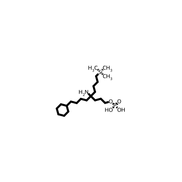 C[Si](C)(C)CCCCC(N)(CCCCC1CCCCC1)CCCOP(=O)(O)O